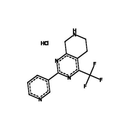 Cl.FC(F)(F)c1nc(-c2cccnc2)nc2c1CCNC2